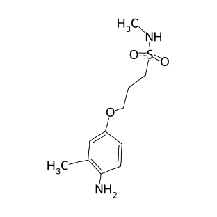 CNS(=O)(=O)CCCOc1ccc(N)c(C)c1